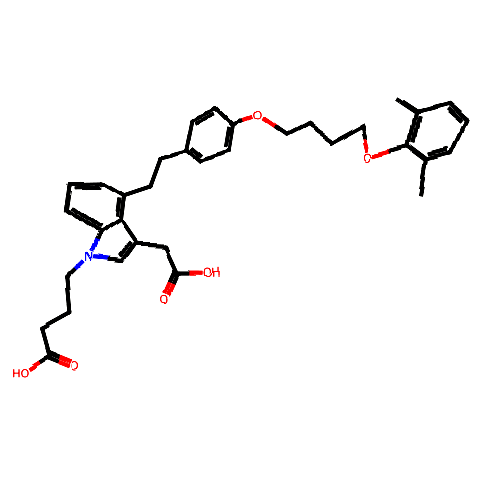 Cc1cccc(C)c1OCCCCOc1ccc(CCc2cccc3c2c(CC(=O)O)cn3CCCC(=O)O)cc1